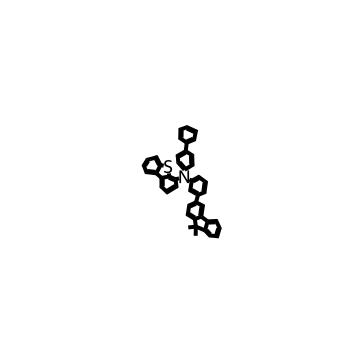 CC1(C)c2ccccc2-c2cc(-c3cccc(N(c4ccc(-c5ccccc5)cc4)c4cccc5c4sc4ccccc45)c3)ccc21